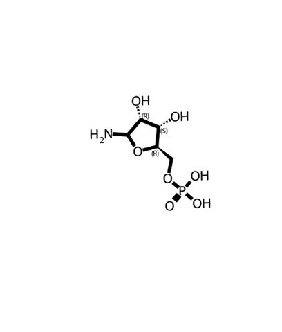 NC1O[C@H](COP(=O)(O)O)[C@@H](O)[C@H]1O